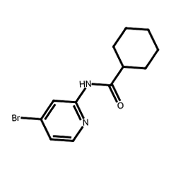 O=C(Nc1cc(Br)ccn1)C1CCCCC1